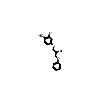 CC(=O)c1cc(OCC(O)COc2ccccc2)ccc1O